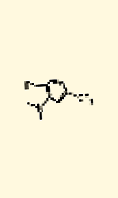 CC(C)c1ccc(C(F)(F)F)cc1N(C)C